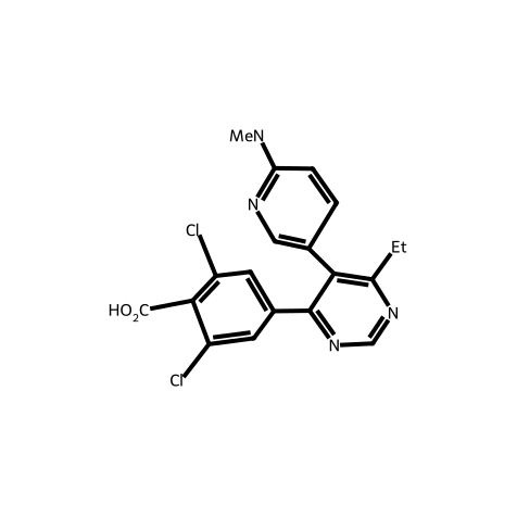 CCc1ncnc(-c2cc(Cl)c(C(=O)O)c(Cl)c2)c1-c1ccc(NC)nc1